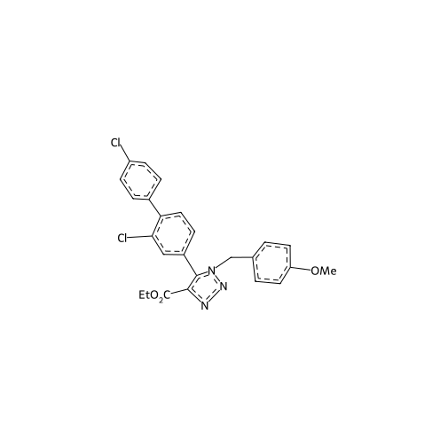 CCOC(=O)c1nnn(Cc2ccc(OC)cc2)c1-c1ccc(-c2ccc(Cl)cc2)c(Cl)c1